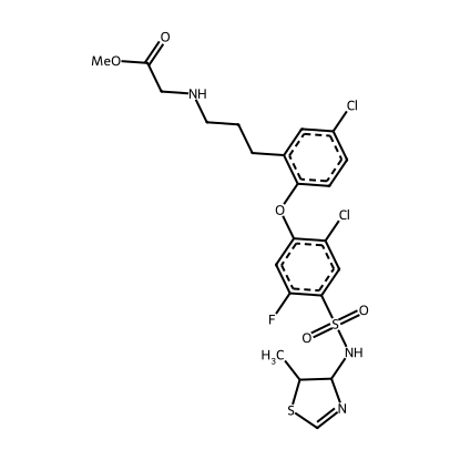 COC(=O)CNCCCc1cc(Cl)ccc1Oc1cc(F)c(S(=O)(=O)NC2N=CSC2C)cc1Cl